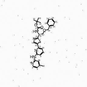 Cc1ccnc(Nc2cccc(-c3cnc([C@H](COCc4ccccc4)NC(=O)OC(C)(C)C)s3)n2)c1